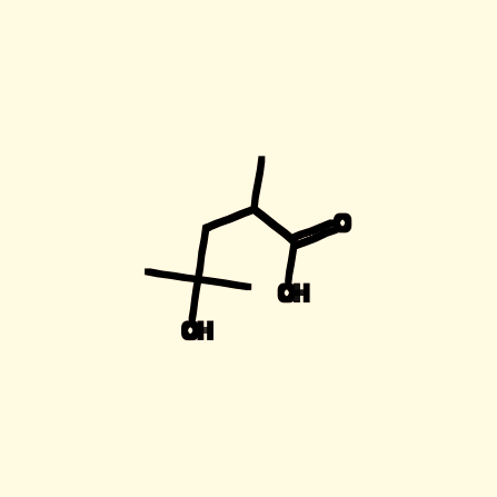 CC(CC(C)(C)O)C(=O)O